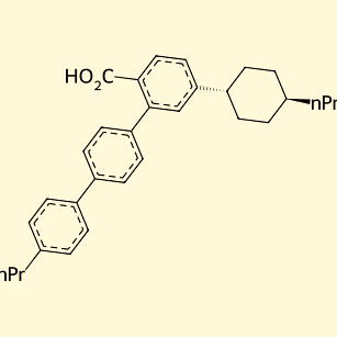 CCCc1ccc(-c2ccc(-c3cc([C@H]4CC[C@H](CCC)CC4)ccc3C(=O)O)cc2)cc1